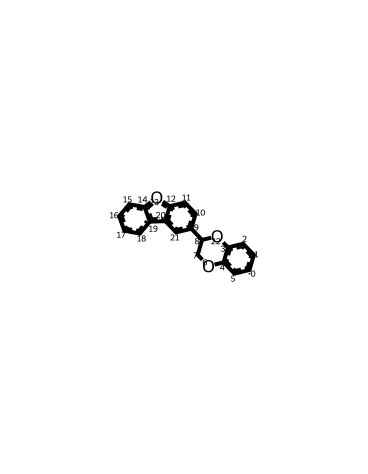 [c]1ccc2c(c1)OCC(c1ccc3oc4ccccc4c3c1)O2